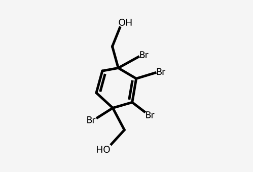 OCC1(Br)C=CC(Br)(CO)C(Br)=C1Br